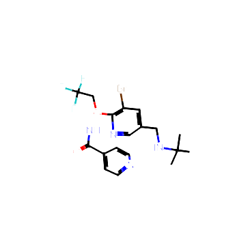 CC(C)(C)NCc1cnc(OCC(F)(F)F)c(Br)c1.NC(=O)c1ccncc1